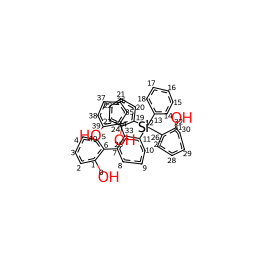 Oc1ccccc1-c1cccc([Si](c2ccccc2)(c2ccccc2O)c2ccccc2O)c1-c1ccccc1O